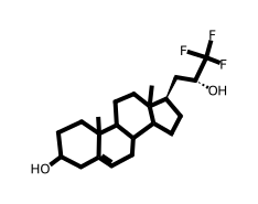 CC12CCC(O)CC1=CCC1C2CCC2(C)C1CC[C@@H]2C[C@@H](O)C(F)(F)F